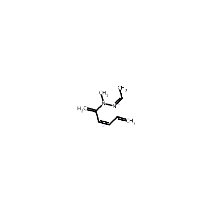 C=C/C=C\C(=C)N(C)/N=C\C